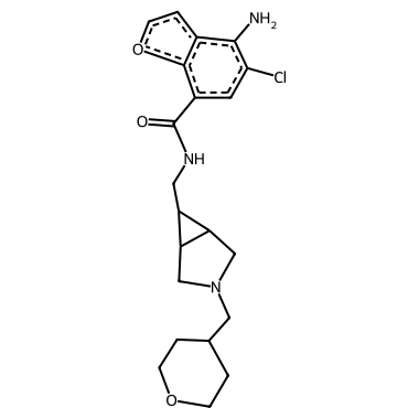 Nc1c(Cl)cc(C(=O)NCC2C3CN(CC4CCOCC4)CC23)c2occc12